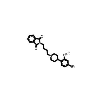 CCOc1cc(C(C)C)ccc1C1CCN(CCCCN2C(=O)c3ccccc3C2=O)CC1